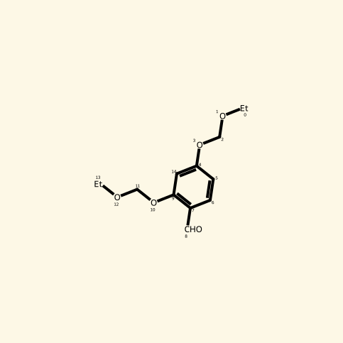 CCOCOc1ccc(C=O)c(OCOCC)c1